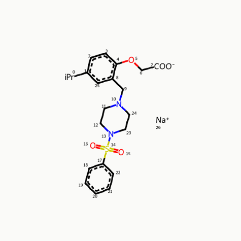 CC(C)c1ccc(OCC(=O)[O-])c(CN2CCN(S(=O)(=O)c3ccccc3)CC2)c1.[Na+]